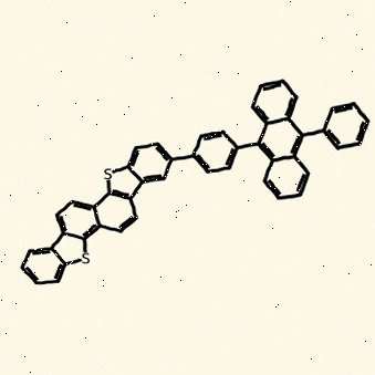 c1ccc(-c2c3ccccc3c(-c3ccc(-c4ccc5sc6c(ccc7c6ccc6c8ccccc8sc67)c5c4)cc3)c3ccccc23)cc1